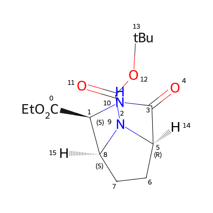 CCOC(=O)[C@H]1NC(=O)[C@H]2CC[C@@H]1N2C(=O)OC(C)(C)C